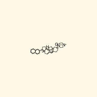 CN1CC[N+]([O-])([C@H]2CCC3=CC4=CC[C@]5(C)[C@@H](c6ccc7ccccc7c6)CC[C@H]5[C@@]45CC[C@]3(C2)O5)CC1